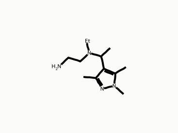 CCN(CCN)C(C)c1c(C)nn(C)c1C